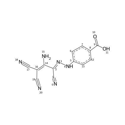 N#CC(=NNc1ccc(C(=O)O)cc1)C(N)=C(C#N)C#N